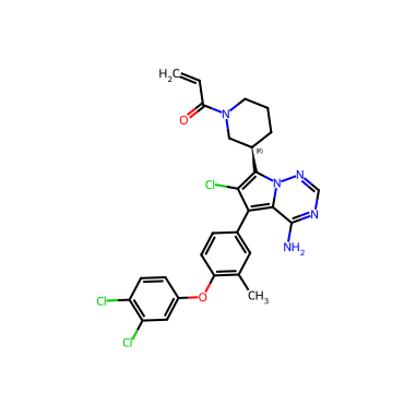 C=CC(=O)N1CCC[C@@H](c2c(Cl)c(-c3ccc(Oc4ccc(Cl)c(Cl)c4)c(C)c3)c3c(N)ncnn23)C1